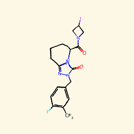 O=C([C@@H]1CCCc2nn(Cc3ccc(F)c(C(F)(F)F)c3)c(=O)n21)N1CC(I)C1